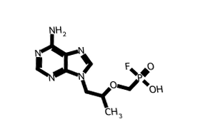 CC(Cn1cnc2c(N)ncnc21)OCP(=O)(O)F